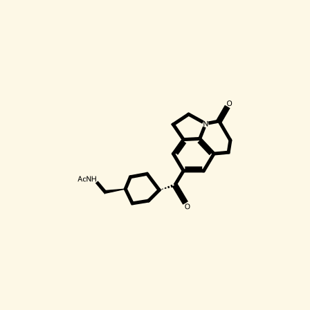 CC(=O)NC[C@H]1CC[C@H](C(=O)c2cc3c4c(c2)CCN4C(=O)CC3)CC1